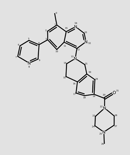 Cc1cc(-c2cccnc2)cc2c(N3CCc4ccc(C(=O)N5CCN(C)CC5)cc4C3)ncnc12